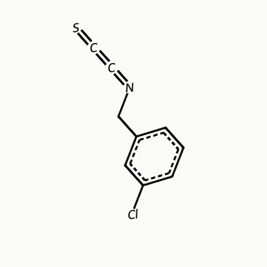 S=C=C=NCc1cccc(Cl)c1